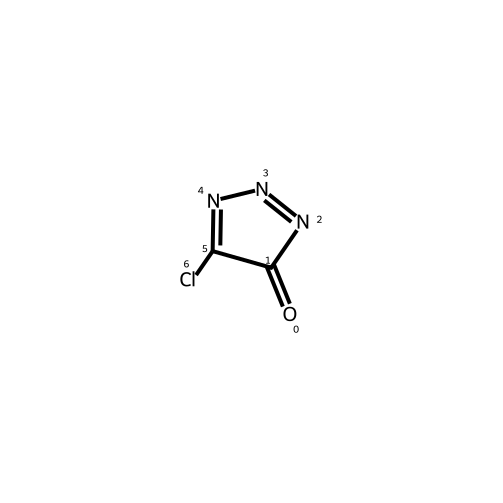 O=C1N=NN=C1Cl